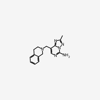 Cc1nc2c(CN3CCc4ccccc4C3)cnc(N)n2n1